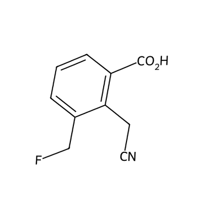 N#CCc1c(CF)cccc1C(=O)O